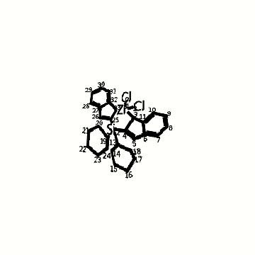 [Cl][Zr]1([Cl])[CH]2C(=Cc3ccccc32)[Si](C2CCCCC2)(C2CCCCC2)C2=Cc3ccccc3[CH]21